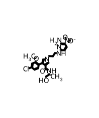 COc1cc(Cl)ccc1-c1cn(CCCNc2ccc([N+](=O)[O-])c(N)n2)cc1C(=O)N[C@@H](C)CO